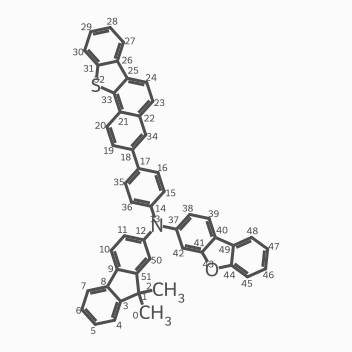 CC1(C)c2ccccc2-c2ccc(N(c3ccc(-c4ccc5c(ccc6c7ccccc7sc56)c4)cc3)c3ccc4c(c3)oc3ccccc34)cc21